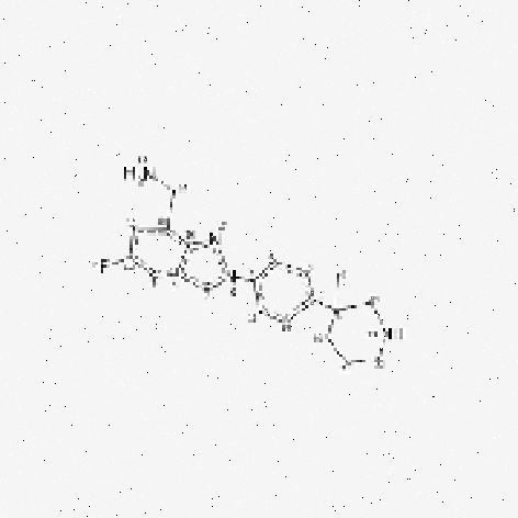 CC1(c2ccc(-n3cc4cc(F)cc(CN)c4n3)cc2)CCCNC1